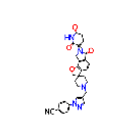 N#Cc1ccc(-n2cc(CN3CCC4(CC3)COc3c4ccc4c3CN([C@H]3CCC(=O)NC3=O)C4=O)cn2)cc1